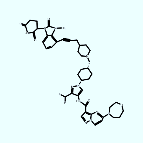 Cn1c(=O)n(C2CCC(=O)NC2=O)c2cccc(C#CCC3CCN(C[C@H]4CC[C@H](n5cc(NC(=O)c6cnn7ccc(N8CCCOCC8)nc67)c(C(F)F)n5)CC4)CC3)c21